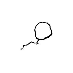 SCCCNC1CCCCCCCCCCC1